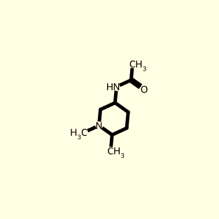 CC(=O)NC1CCC(C)N(C)C1